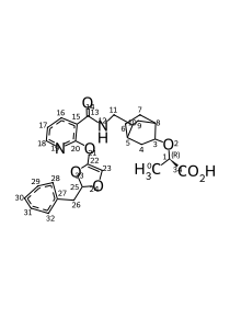 C[C@@H](OC1CC2CCC1CC2CNC(=O)c1cccnc1OC1=COC(Cc2ccccc2)O1)C(=O)O